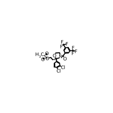 CS(=O)(=O)OCC[C@]1(c2ccc(Cl)c(Cl)c2)CN(C(=O)c2cc(C(F)(F)F)cc(C(F)(F)F)c2)CCO1